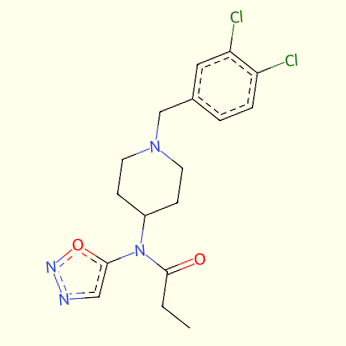 CCC(=O)N(c1cnno1)C1CCN(Cc2ccc(Cl)c(Cl)c2)CC1